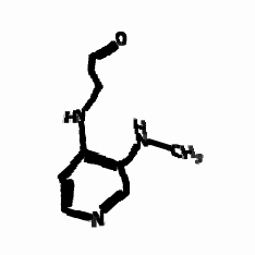 CNc1cnccc1NCC=O